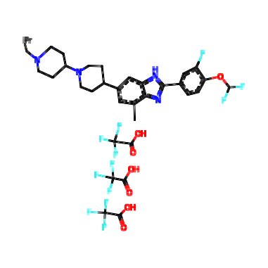 Cc1cc(C2CCN(C3CCN(CC(C)C)CC3)CC2)cc2[nH]c(-c3ccc(OC(F)F)c(F)c3)nc12.O=C(O)C(F)(F)F.O=C(O)C(F)(F)F.O=C(O)C(F)(F)F